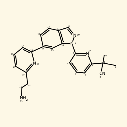 CC(C)(C#N)c1cccc(-n2ncc3ccc(-c4cccc(CCN)n4)cc32)n1